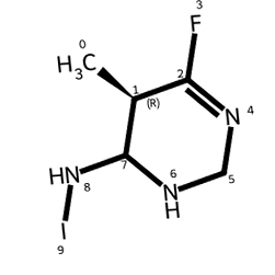 C[C@H]1C(F)=NCNC1NI